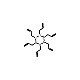 C=CCB1N(CC=C)B(CC=C)N(CC=C)B(CC=C)N1CC=C